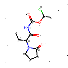 CC[C@@H](C(=O)NC(=O)OC(C)Cl)N1CCCC1=O